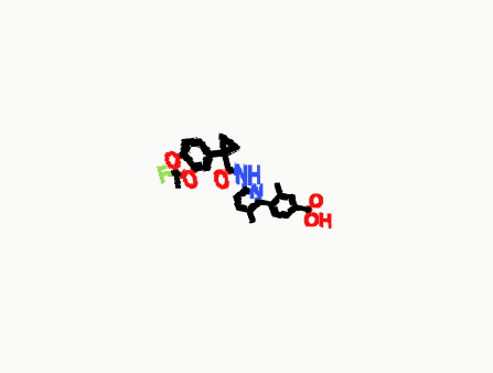 Cc1cc(C(=O)O)ccc1-c1nc(NC(=O)C2(c3ccc4c(c3)OC(C)(F)O4)CC2)ccc1C